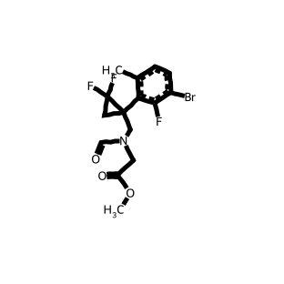 COC(=O)CN(C=O)CC1(c2c(C)ccc(Br)c2F)CC1(F)F